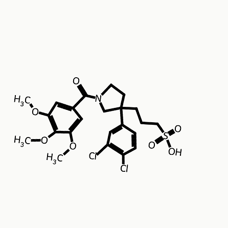 COc1cc(C(=O)N2CCC(CCCS(=O)(=O)O)(c3ccc(Cl)c(Cl)c3)C2)cc(OC)c1OC